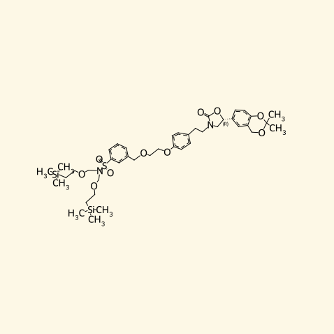 CC1(C)OCc2cc([C@@H]3CN(CCc4ccc(OCCOCc5cccc(S(=O)(=O)N(COCC[Si](C)(C)C)COCC[Si](C)(C)C)c5)cc4)C(=O)O3)ccc2O1